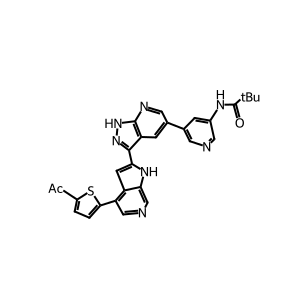 CC(=O)c1ccc(-c2cncc3[nH]c(-c4n[nH]c5ncc(-c6cncc(NC(=O)C(C)(C)C)c6)cc45)cc23)s1